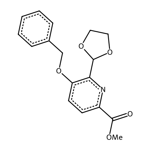 COC(=O)c1ccc(OCc2ccccc2)c(C2OCCO2)n1